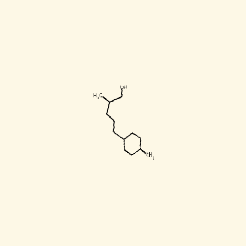 CC(CO)CCCC1CCC(C)CC1